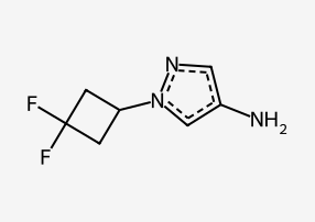 Nc1cnn(C2CC(F)(F)C2)c1